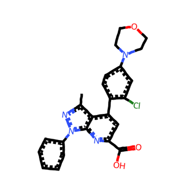 Cc1nn(-c2ccccc2)c2nc(C(=O)O)cc(-c3ccc(N4CCOCC4)cc3Cl)c12